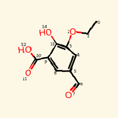 CCOc1cc(C=O)cc(C(=O)O)c1O